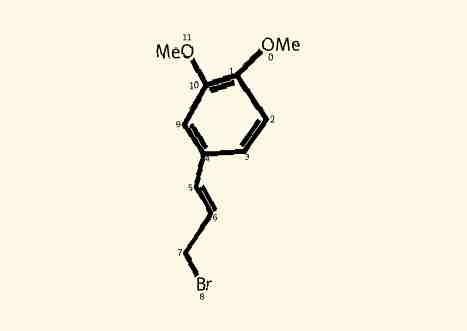 COc1ccc(/C=C/CBr)cc1OC